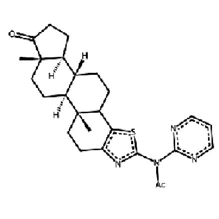 CC(=O)N(c1ncccn1)c1nc2c(s1)C1CC[C@@H]3[C@H](CC[C@]4(C)C(=O)CC[C@@H]34)[C@@]1(C)CC2